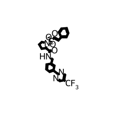 O=C(NCc1cccc(-c2ncc(C(F)(F)F)cn2)c1)C1CCCN1S(=O)(=O)c1cc2ccccc2o1